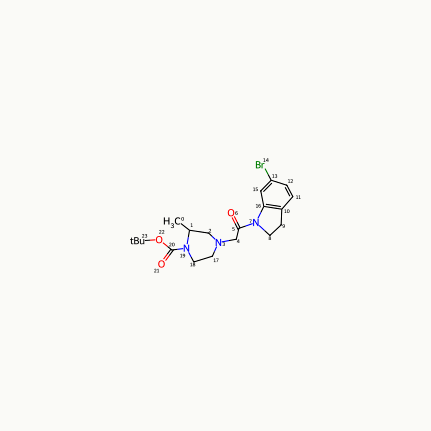 CC1CN(CC(=O)N2CCc3ccc(Br)cc32)CCN1C(=O)OC(C)(C)C